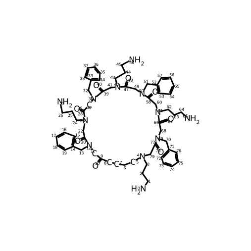 NCCCN1CCCCC(=O)CN(Cc2ccccc2)C(=O)CN(CCCN)C(=O)CN(Cc2ccccc2)C(=O)CN(CCCN)C(=O)CN(Cc2ccccc2)C(=O)CN(CCCN)C(=O)CN(Cc2ccccc2)C(=O)C1